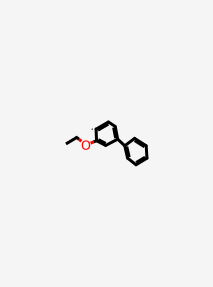 CCOc1[c]ccc(-c2ccccc2)c1